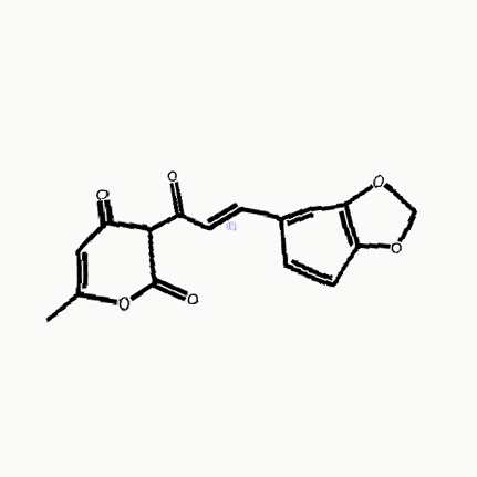 CC1=CC(=O)C(C(=O)/C=C/c2ccc3c(c2)OCO3)C(=O)O1